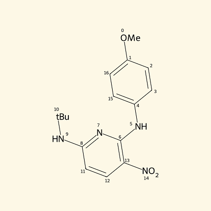 COc1ccc(Nc2nc(NC(C)(C)C)ccc2[N+](=O)[O-])cc1